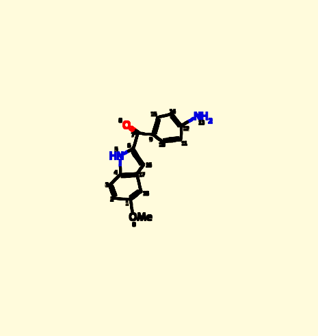 COc1ccc2[nH]c(C(=O)c3ccc(N)cc3)cc2c1